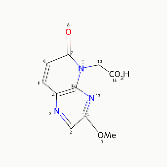 COc1cnc2ccc(=O)n(CC(=O)O)c2n1